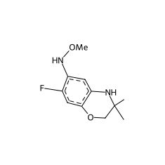 CONc1cc2c(cc1F)OCC(C)(C)N2